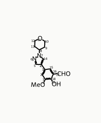 COc1cc(-c2cnn(C3CCOCC3)c2)cc(C=O)c1O